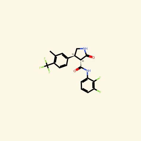 Cc1cc([C@H]2CNC(=O)[C@@H]2C(=O)Nc2cccc(F)c2F)ccc1C(F)(F)F